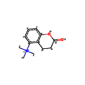 C[N+](C)(C)c1cccc2c1CCC(=O)O2